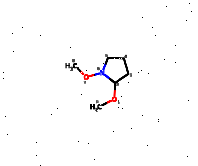 COC1CCCN1OC